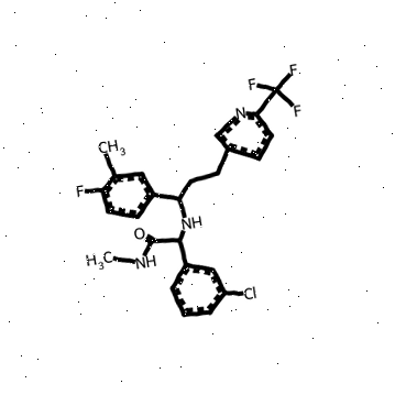 CNC(=O)C(NC(CCc1ccc(C(F)(F)F)nc1)c1ccc(F)c(C)c1)c1cccc(Cl)c1